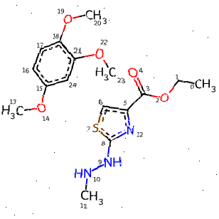 CCOC(=O)c1csc(NNC)n1.COc1ccc(OC)c(OC)c1